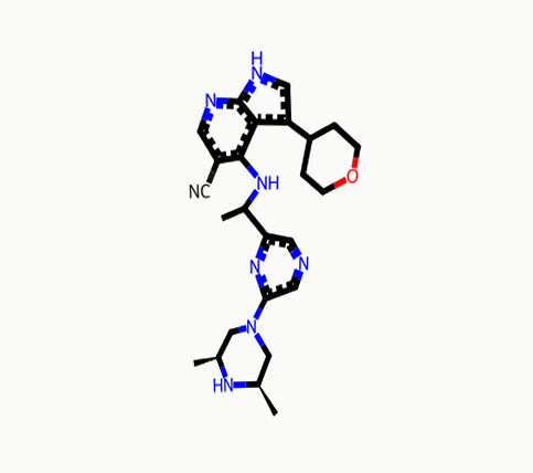 CC(Nc1c(C#N)cnc2[nH]cc(C3CCOCC3)c12)c1cncc(N2C[C@@H](C)N[C@@H](C)C2)n1